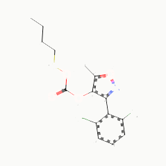 CCCCSOC(=O)Oc1c(-c2c(Cl)cccc2Cl)noc1C